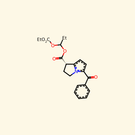 CCOC(=O)OC(CC)OC(=O)[C@H]1CCn2c(C(=O)c3ccccc3)ccc21